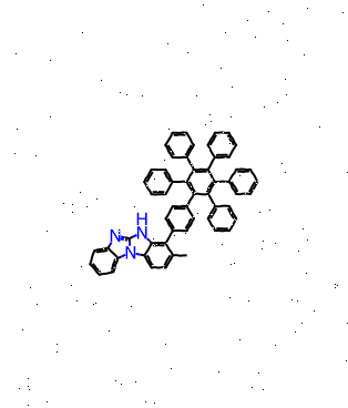 Cc1ccc2c([nH]c3nc4ccccc4n32)c1-c1ccc(-c2c(-c3ccccc3)c(-c3ccccc3)c(-c3ccccc3)c(-c3ccccc3)c2-c2ccccc2)cc1